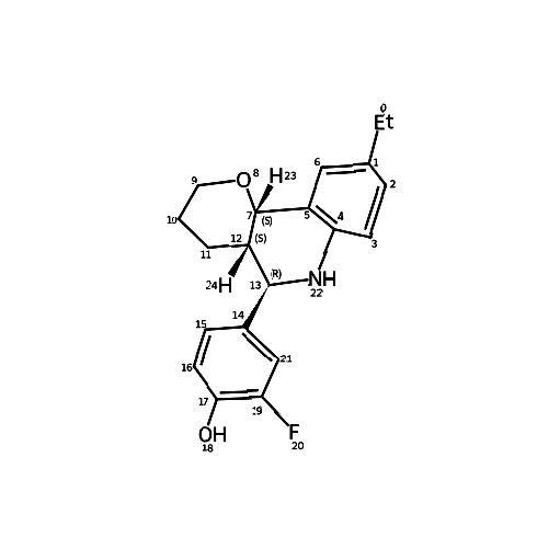 CCc1ccc2c(c1)[C@H]1OCCC[C@H]1[C@H](c1ccc(O)c(F)c1)N2